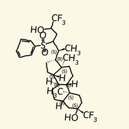 C[C@H](C(CC(O)C(F)(F)F)S(=O)(=O)c1ccccc1)[C@H]1CC[C@H]2[C@@H]3CC[C@H]4C[C@](O)(C(F)(F)F)CC[C@]4(C)[C@H]3CC[C@]12C